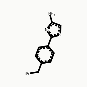 CC(C)Cc1ccc(-c2nc(N)cs2)cc1